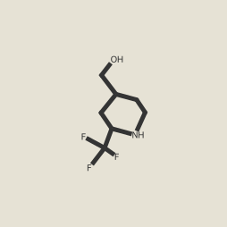 OCC1CCNC(C(F)(F)F)C1